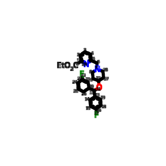 CCOC(=O)c1cccc(CN2CCC(OC(c3ccc(F)cc3)C3C=C(F)C=CC3)CC2)n1